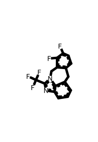 Fc1ccc2c(c1F)Cn1c(C(F)(F)F)nc3cccc(c31)C2